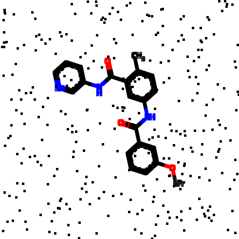 CCCOc1cccc(C(=O)Nc2ccc(C)c(C(=O)Nc3cccnc3)c2)c1